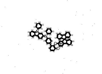 C1=C2Oc3cccc(-c4ccc(N(c5ccccc5)c5ccc6c7ccccc7n(-c7ccccc7)c6c5)cc4)c3OC2=C[C@H]2C1c1ccccc1C21c2ccccc2-c2ccccc21